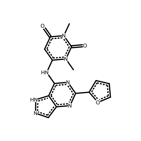 Cn1c(Nc2nc(-c3ccco3)nc3cn[nH]c23)cc(=O)n(C)c1=O